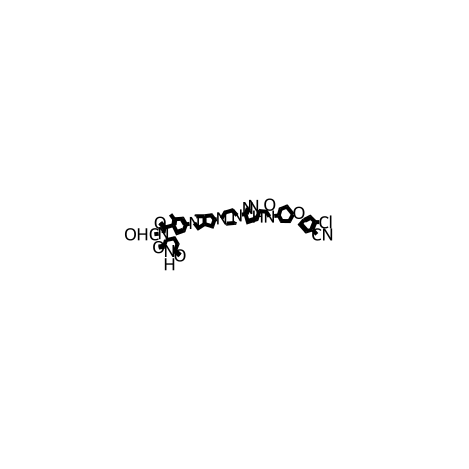 Cc1cc(N2CC3CC(N4CCN(c5ccc(C(=O)NC6CCC(Oc7ccc(C#N)c(Cl)c7)CC6)nn5)CC4)CC3C2)ccc1C(=O)N(C=O)C1CCC(=O)NC1=O